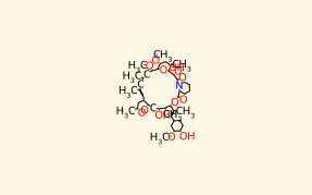 COC1CC(C=C(C)C2OC(=O)C3CCCCN3C(=O)C(=O)C3(O)OC(C(OC)CC(C)C/C(C)=C/C(CC(C)=O)C(=O)CC(O)C2C)C(OC)CC3C)CCC1O